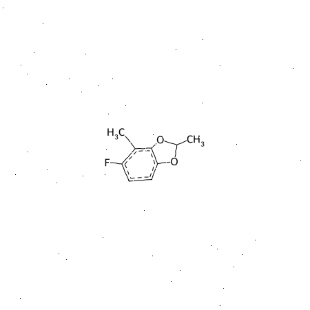 Cc1c(F)ccc2c1OC(C)O2